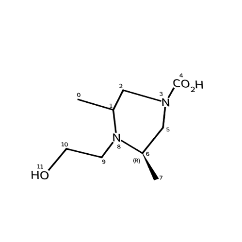 CC1CN(C(=O)O)C[C@@H](C)N1CCO